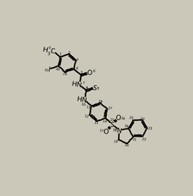 Cc1ccc(C(=O)NC(=S)Nc2ccc(S(=O)(=O)N3CCc4ccccc43)cc2)cc1I